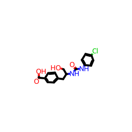 O=C(Nc1ccc(Cl)cc1)NC(CO)Cc1ccc(C(=O)O)cc1